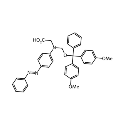 COc1ccc(C(OCN(CC(=O)O)c2ccc(N=Nc3ccccc3)cc2)(c2ccccc2)c2ccc(OC)cc2)cc1